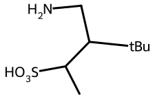 CC(C(CN)C(C)(C)C)S(=O)(=O)O